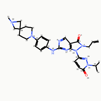 C=CCn1c(=O)c2cnc(Nc3ccc(N4CCC5(CC4)CN(C)C5)cc3)nc2n1-c1ccc(=O)n(C(C)C)n1